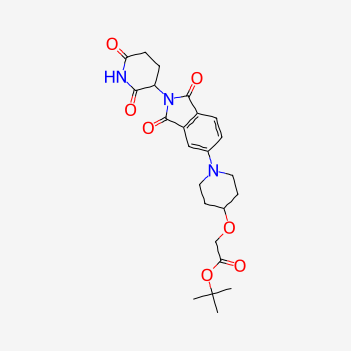 CC(C)(C)OC(=O)COC1CCN(c2ccc3c(c2)C(=O)N(C2CCC(=O)NC2=O)C3=O)CC1